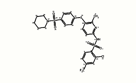 Cc1nc(NS(=O)(=O)c2ccc(C(F)(F)F)cc2Cl)ccc1Sc1ccc(S(=O)(=O)N2CCCCC2)cc1